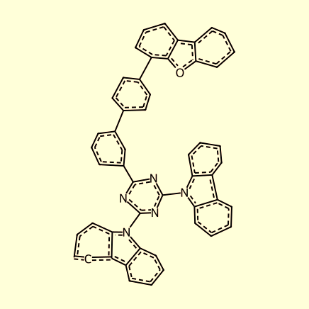 c1cc(-c2ccc(-c3cccc4c3oc3ccccc34)cc2)cc(-c2nc(-n3c4ccccc4c4ccccc43)nc(-n3c4ccccc4c4ccccc43)n2)c1